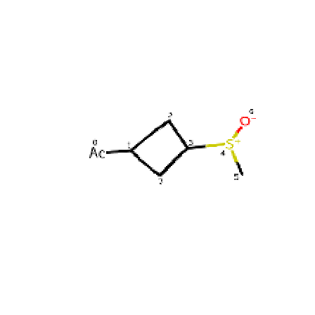 CC(=O)C1CC([S+](C)[O-])C1